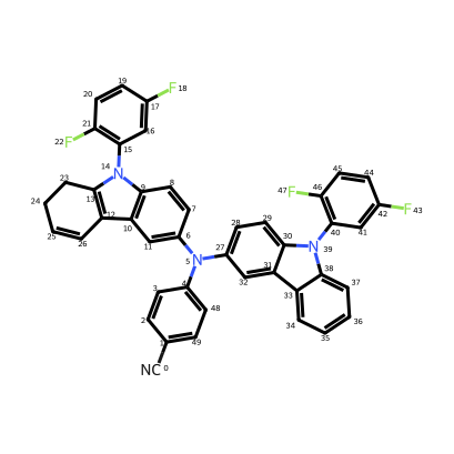 N#Cc1ccc(N(c2ccc3c(c2)c2c(n3-c3cc(F)ccc3F)CCC=C2)c2ccc3c(c2)c2ccccc2n3-c2cc(F)ccc2F)cc1